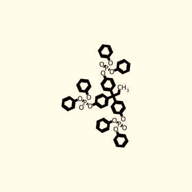 CCC(c1ccc(OP(=O)(Oc2ccccc2)Oc2ccccc2)cc1)(c1ccc(OP(=O)(Oc2ccccc2)Oc2ccccc2)cc1)c1ccc(OP(=O)(Oc2ccccc2)Oc2ccccc2)cc1